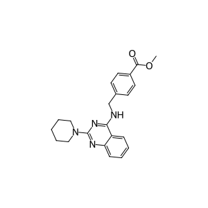 COC(=O)c1ccc(CNc2nc(N3CCCCC3)nc3ccccc23)cc1